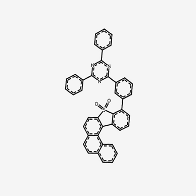 O=S1(=O)c2ccc3ccc4ccccc4c3c2-c2cccc(-c3cccc(-c4nc(-c5ccccc5)nc(-c5ccccc5)n4)c3)c21